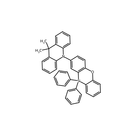 CC1(C)c2ccccc2N(c2ccc3c(c2)[Si](c2ccccc2)(c2ccccc2)c2ccccc2O3)c2ccccc21